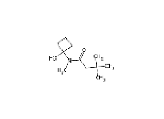 CN(C(=O)CC(C)(C)C)C1(O)CCC1